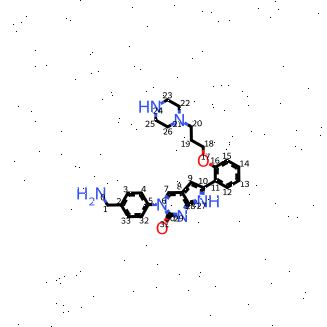 NCc1ccc(-n2cc3cc(-c4ccccc4OCCCN4CCNCC4)[nH]c3nc2=O)cc1